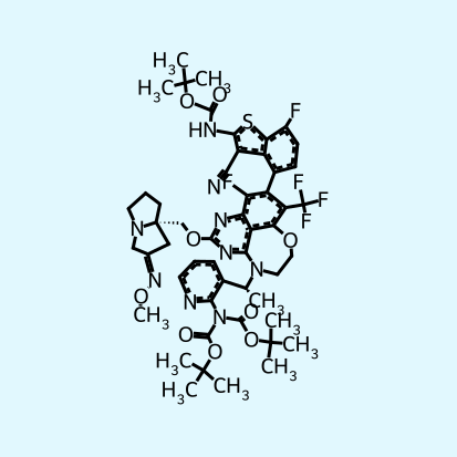 CON=C1CN2CCC[C@@]2(COc2nc3c4c(c(C(F)(F)F)c(-c5ccc(F)c6sc(NC(=O)OC(C)(C)C)c(C#N)c56)c(F)c4n2)OCCN3[C@H](C)c2cccnc2N(C(=O)OC(C)(C)C)C(=O)OC(C)(C)C)C1